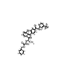 C[C@@H](CNC(=O)OCc1ccccc1)c1nc(-c2ccc(C(=O)Nc3cc(C(F)(F)F)ccn3)cc2)c2c(N)nccn12